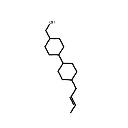 C/C=C/CC1CCC(C2CCC(CO)CC2)CC1